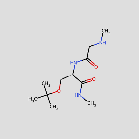 CNCC(=O)N[C@@H](COC(C)(C)C)C(=O)NC